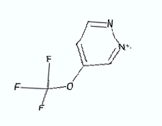 FC(F)(F)OC1=CC=N[N+]=C1